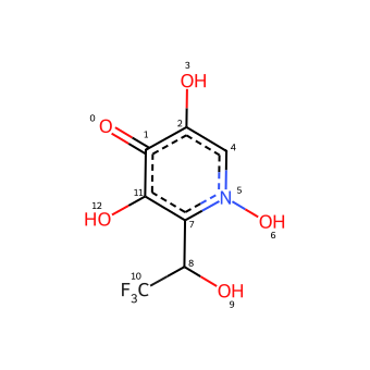 O=c1c(O)cn(O)c(C(O)C(F)(F)F)c1O